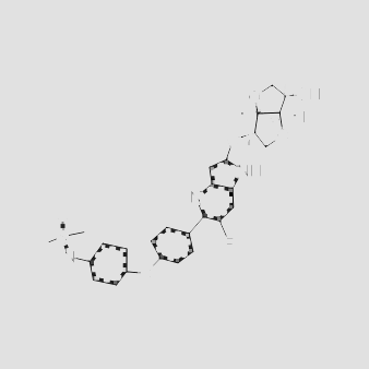 CS(C)(=O)=Nc1ccc(Oc2ccc(-c3nc4cc(O[C@@H]5CO[C@H]6[C@@H]5OC[C@H]6O)[nH]c4cc3F)cc2)cc1